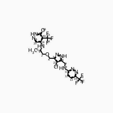 C[C@@H](COCc1n[nH]c(CNc2ccc(C(F)(F)F)nn2)c1Cl)Nc1cn[nH]c(=O)c1C(F)(F)F